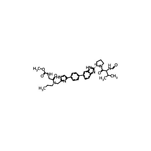 CCCN(Cc1nc(-c2ccc(-c3ccc4nc([C@@H]5CCCN5C(=O)C(NC=O)C(C)C)[nH]c4c3)cc2)c[nH]1)C(=O)CNC(=O)OC